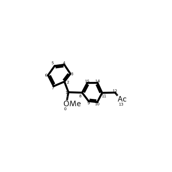 COC(c1ccccc1)c1ccc(CC(C)=O)cc1